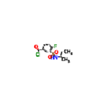 CC[C@@H](C)NS(=O)(=O)c1cc(C(=O)Cl)ccc1F